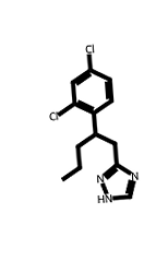 CCCC(Cc1nc[nH]n1)c1ccc(Cl)cc1Cl